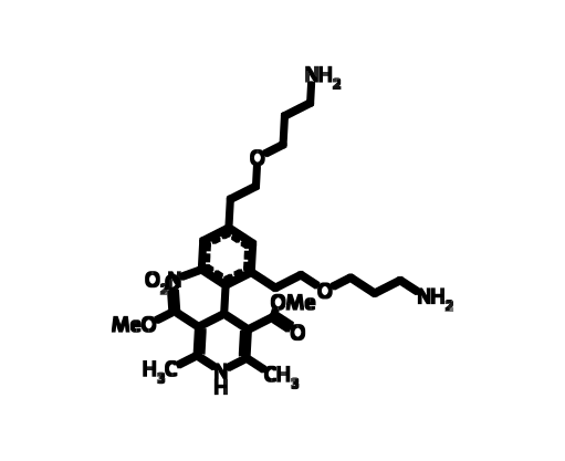 COC(=O)C1=C(C)NC(C)=C(C(=O)OC)C1c1c(CCOCCCN)cc(CCOCCCN)cc1[N+](=O)[O-]